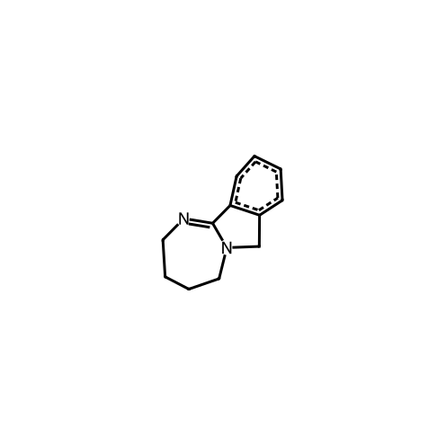 c1ccc2c(c1)CN1CCCCN=C21